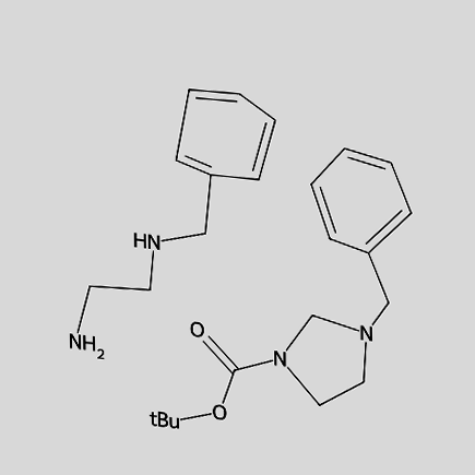 CC(C)(C)OC(=O)N1CCN(Cc2ccccc2)C1.NCCNCc1ccccc1